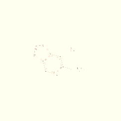 COc1nc(C)c2ccsc2c1C#N